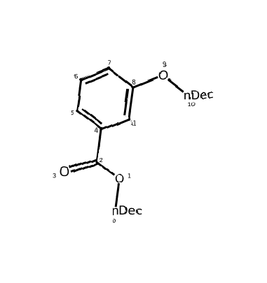 CCCCCCCCCCOC(=O)c1cccc(OCCCCCCCCCC)c1